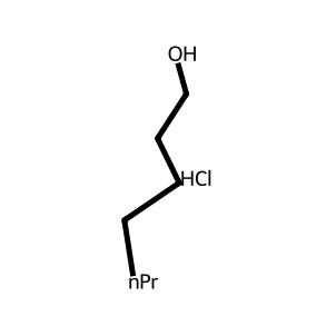 CCCCCCCO.Cl